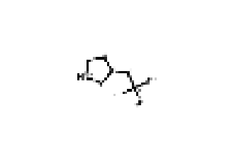 FC(F)(F)C[C@@H]1CCNC1